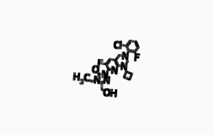 CCn1c(CO)nn(-c2nc3c(cc2F)CN(c2c(F)cccc2Cl)CN3C2CCC2)c1=O